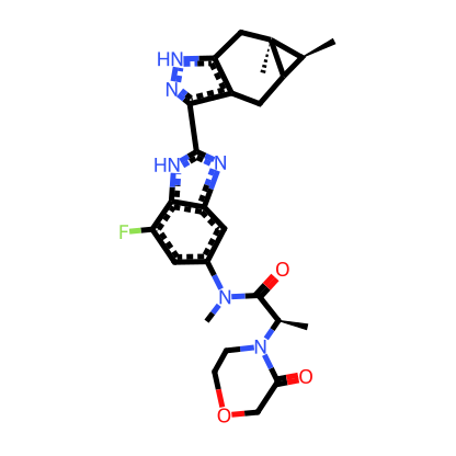 C[C@H](C(=O)N(C)c1cc(F)c2[nH]c(-c3n[nH]c4c3CC3[C@H](C)[C@]3(C)C4)nc2c1)N1CCOCC1=O